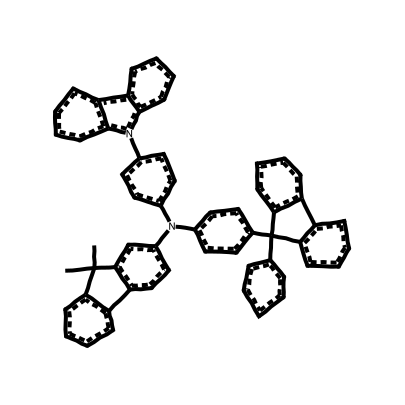 CC1(C)c2ccccc2-c2ccc(N(c3ccc(-n4c5ccccc5c5ccccc54)cc3)c3ccc(C4(c5ccccc5)c5ccccc5-c5ccccc54)cc3)cc21